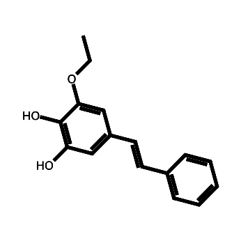 CCOc1cc(/C=C/c2ccccc2)cc(O)c1O